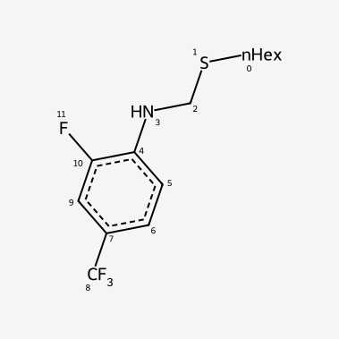 CCCCCCSCNc1ccc(C(F)(F)F)cc1F